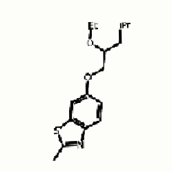 CCOC(COc1ccc2nc(C)sc2c1)CC(C)C